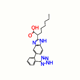 CCCCCCC(C(=O)O)c1nc2cc(-c3ccccc3-c3nn[nH]n3)ccc2[nH]1